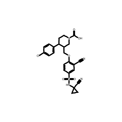 N#Cc1cc(S(=O)(=O)NC2(C#N)CC2)ccc1OCC1CN(C(=O)O)CCC1c1ccc(Cl)cc1